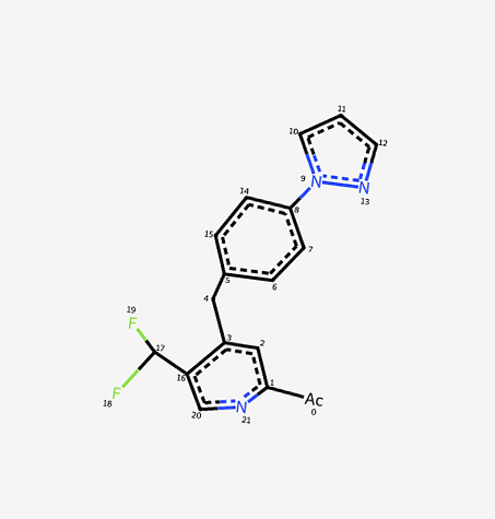 CC(=O)c1cc(Cc2ccc(-n3cccn3)cc2)c(C(F)F)cn1